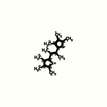 CC(=C(C)c1sc(C)c(C)c1C)c1sc(C)c(C)c1C